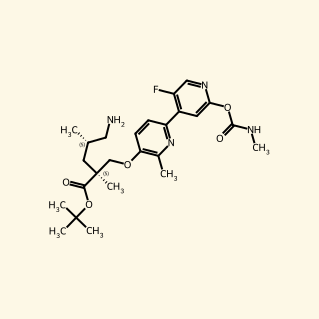 CNC(=O)Oc1cc(-c2ccc(OC[C@](C)(C[C@H](C)CN)C(=O)OC(C)(C)C)c(C)n2)c(F)cn1